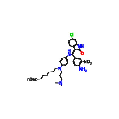 CCCCCCCCCCCCCCCCN(CCCN(C)C)c1ccc(NC(=C2C(=O)Nc3cc(Cl)ccc32)c2ccc(N)c([N+](=O)[O-])c2)cc1